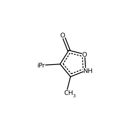 Cc1[nH]oc(=O)c1C(C)C